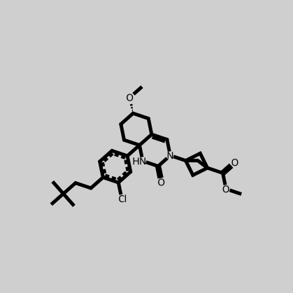 COC(=O)C12CC(N3C=C4C[C@@H](OC)CCC4(c4ccc(CCC(C)(C)C)c(Cl)c4)NC3=O)(C1)C2